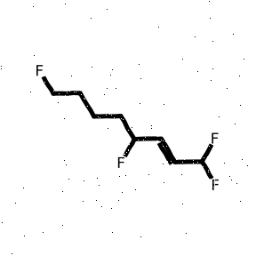 FCCCCC(F)C=CC(F)F